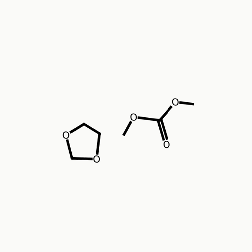 C1COCO1.COC(=O)OC